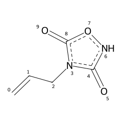 C=CCn1c(=O)[nH]oc1=O